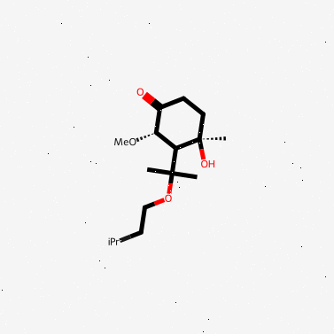 CO[C@@H]1C(=O)CC[C@@](C)(O)C1C(C)(C)OCCC(C)C